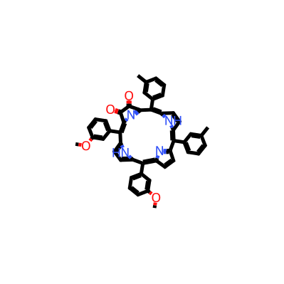 COc1cccc(-c2c3nc(c(-c4cccc(C)c4)c4ccc([nH]4)c(-c4cccc(C)c4)c4nc(c(-c5cccc(OC)c5)c5ccc2[nH]5)C(=O)C4=O)C=C3)c1